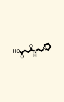 O=C(O)CCC(=O)NCCN1CCCC1